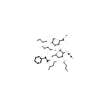 CCCCO[C@@H]1C(COC(=O)C(=O)c2ccccc2)O[C@@H](OC2C(C(=O)OC)OC(O)[C@@H](OCCCC)[C@H]2OCCCC)C(N=[N+]=[N-])[C@H]1OCCCC